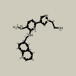 NNc1ccc(-c2cnn(CCO)c2)nc1NCc1ccc2ncccc2c1